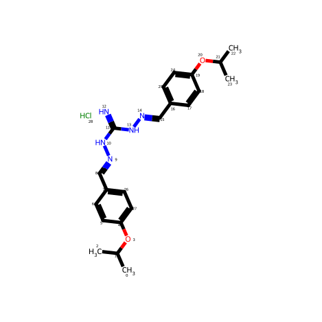 CC(C)Oc1ccc(/C=N/NC(=N)N/N=C/c2ccc(OC(C)C)cc2)cc1.Cl